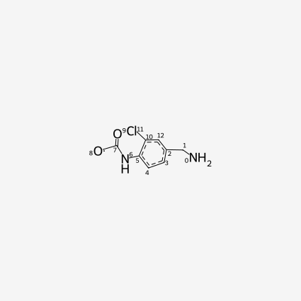 NCc1ccc(NC([O])=O)c(Cl)c1